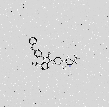 CN(C)C(C)(C)/C=C(/C#N)C(=O)N1CCC(n2c(=O)n(-c3ccc(Oc4ccccc4)cc3)c3c(N)ncnc32)CC1